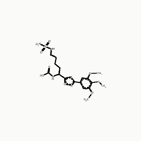 COc1cc(-c2noc(C(CCCCNS(N)(=O)=O)NC(=O)O)n2)cc(OC)c1OC